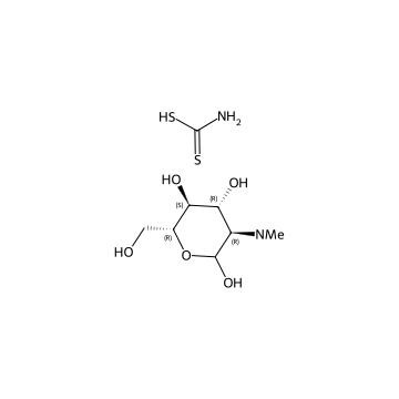 CN[C@H]1C(O)O[C@H](CO)[C@@H](O)[C@@H]1O.NC(=S)S